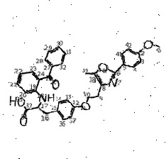 COc1ccc(-c2nc(CCOc3ccc(C[C@H](Nc4ccccc4C(=O)c4ccccc4)C(=O)O)cc3)c(C)o2)cc1